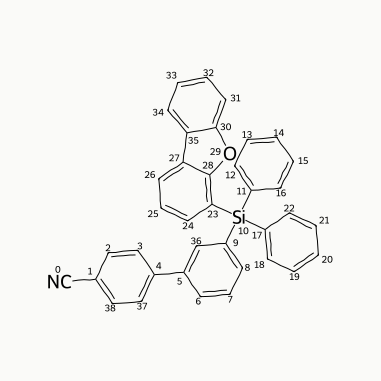 N#Cc1ccc(-c2cccc([Si](c3ccccc3)(c3ccccc3)c3cccc4c3oc3ccccc34)c2)cc1